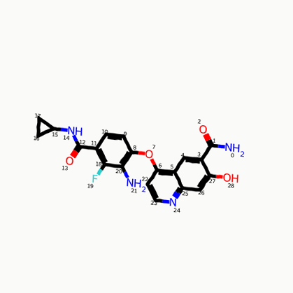 NC(=O)c1cc2c(Oc3ccc(C(=O)NC4CC4)c(F)c3N)ccnc2cc1O